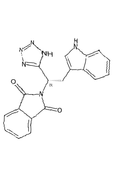 O=C1c2ccccc2C(=O)N1[C@@H](Cc1c[nH]c2ccccc12)c1nnn[nH]1